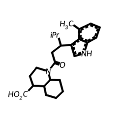 Cc1cccc2[nH]cc(C(CC(=O)N3CCC(C(=O)O)C4CCCCC43)C(C)C)c12